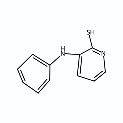 Sc1ncccc1Nc1ccccc1